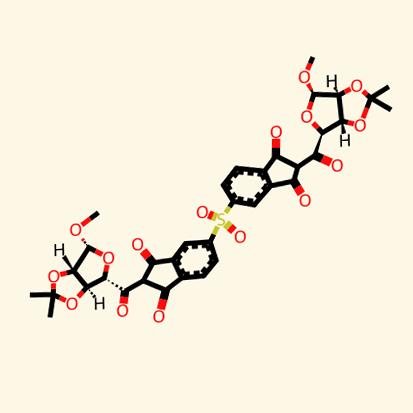 CO[C@@H]1O[C@H](C(=O)C2C(=O)c3ccc(S(=O)(=O)c4ccc5c(c4)C(=O)C(C(=O)[C@H]4O[C@@H](OC)[C@H]6OC(C)(C)O[C@@H]64)C5=O)cc3C2=O)[C@H]2OC(C)(C)O[C@H]12